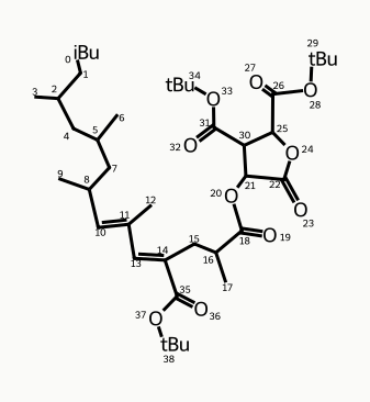 CCC(C)CC(C)CC(C)CC(C)/C=C(C)/C=C(\CC(C)C(=O)OC1C(=O)OC(C(=O)OC(C)(C)C)C1C(=O)OC(C)(C)C)C(=O)OC(C)(C)C